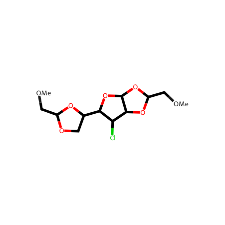 COCC1OCC(C2OC3OC(COC)OC3C2Cl)O1